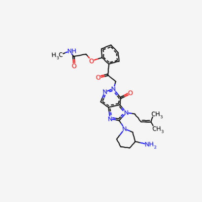 CNC(=O)COc1ccccc1C(=O)Cn1ncc2nc(N3CCCC(N)C3)n(CC=C(C)C)c2c1=O